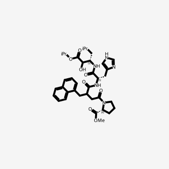 COC(=O)[C@H]1CCCN1C(=O)CC(Cc1cccc2ccccc12)C(=O)N[C@@H](Cc1c[nH]cn1)C(=O)N[C@@H](CC(C)C)C(O)C(=O)OC(C)C